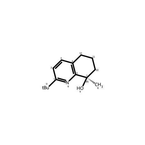 CC(C)(C)c1ccc2c(n1)[C@](C)(O)CCC2